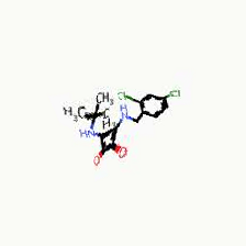 CC(C)(C)Nc1c(NCc2ccc(Cl)cc2Cl)c(=O)c1=O